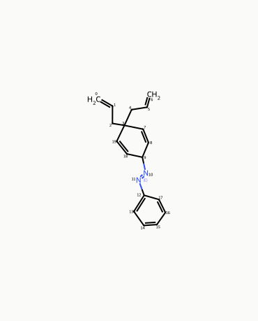 C=CCC1(CC=C)C=CC(/N=N/c2ccccc2)C=C1